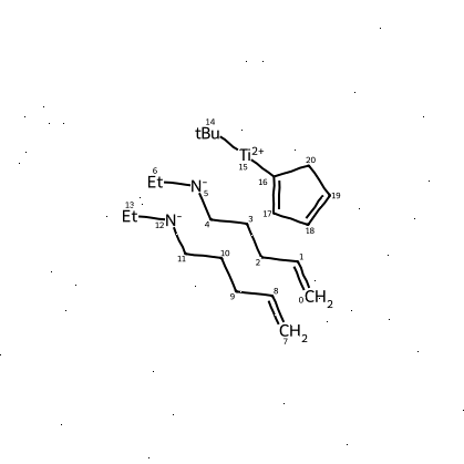 C=CCCC[N-]CC.C=CCCC[N-]CC.C[C](C)(C)[Ti+2][C]1=CC=CC1